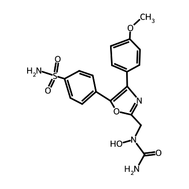 COc1ccc(-c2nc(CN(O)C(N)=O)oc2-c2ccc(S(N)(=O)=O)cc2)cc1